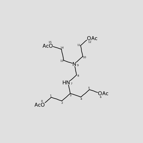 CC(=O)OCCC(CCOC(C)=O)NCN(CCOC(C)=O)CCOC(C)=O